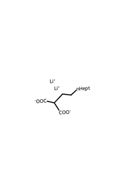 CCCCCCCCCC(C(=O)[O-])C(=O)[O-].[Li+].[Li+]